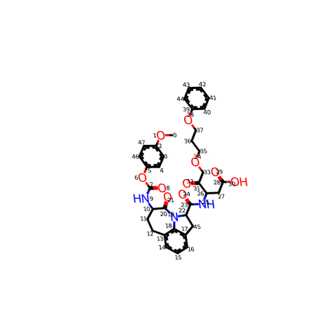 COc1ccc(OC(=O)NC2CCc3cccc4c3N(C2=O)C(C(=O)NC(CC(=O)O)C(=O)COCCCOc2ccccc2)C4)cc1